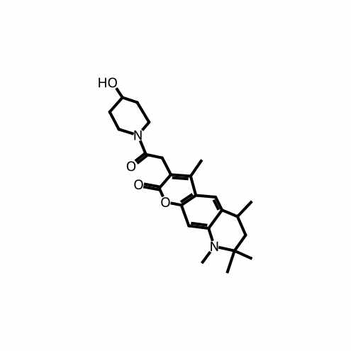 Cc1c(CC(=O)N2CCC(O)CC2)c(=O)oc2cc3c(cc12)C(C)CC(C)(C)N3C